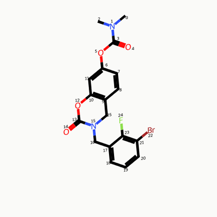 CN(C)C(=O)Oc1ccc2c(c1)OC(=O)N(Cc1cccc(Br)c1F)C2